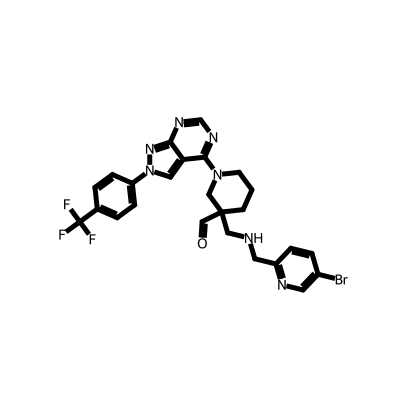 O=CC1(CNCc2ccc(Br)cn2)CCCN(c2ncnc3nn(-c4ccc(C(F)(F)F)cc4)cc23)C1